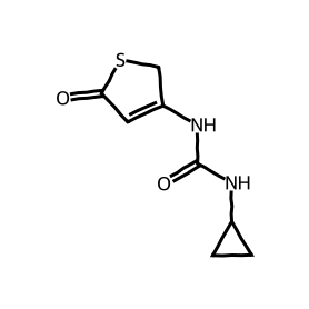 O=C(NC1=CC(=O)SC1)NC1CC1